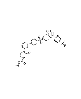 CC(C)(C)OC(=O)N1CCN(c2cc(-c3ccc(S(=O)(=O)N4CC[C@@H](Nc5ccc(C(F)(F)F)cn5)[C@@H](O)C4)cc3)ccn2)C(=O)C1